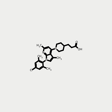 Cc1cc(N2CCC(CCC(=O)O)CC2)c2c(C)cn(-c3c(C)cc(Cl)cc3C)c2n1